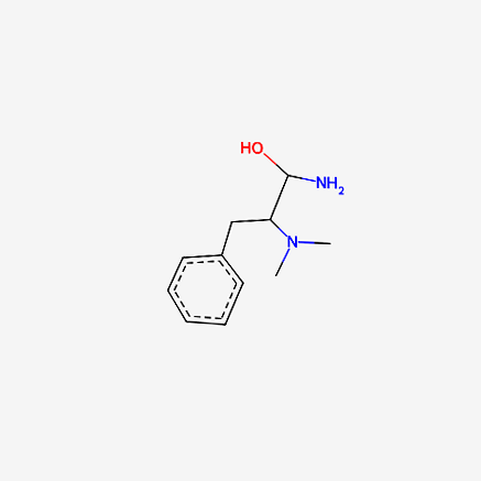 CN(C)C(Cc1ccccc1)C(N)O